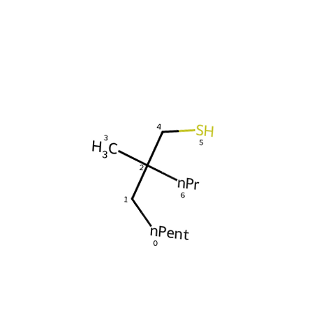 CCCCCCC(C)(CS)CCC